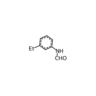 CCc1cccc(NC=O)c1